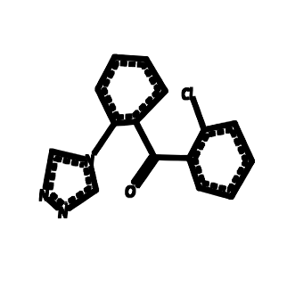 O=C(c1ccccc1Cl)c1ccccc1-n1cnnc1